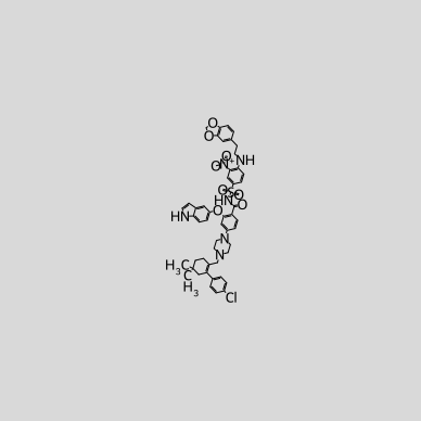 CC1(C)CCC(CN2CCN(c3ccc(C(=O)NS(=O)(=O)c4ccc(NCCc5ccc6c(c5)OCO6)c([N+](=O)[O-])c4)c(Oc4ccc5[nH]ccc5c4)c3)CC2)=C(c2ccc(Cl)cc2)C1